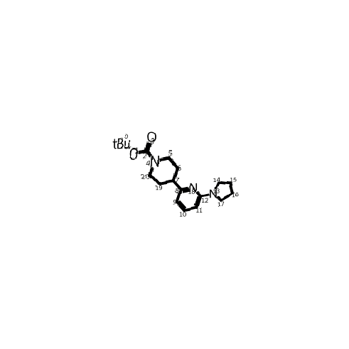 CC(C)(C)OC(=O)N1CCC(c2cccc(N3CCCC3)n2)CC1